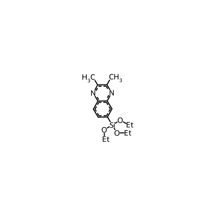 CCO[Si](OCC)(OCC)c1ccc2nc(C)c(C)nc2c1